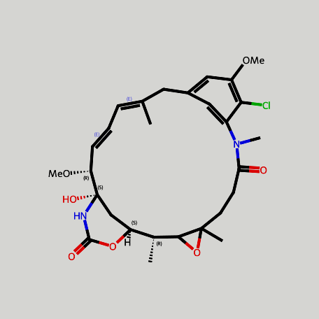 COc1cc2cc(c1Cl)N(C)C(=O)CCC1(C)OC1[C@H](C)[C@@H]1C[C@@](O)(NC(=O)O1)[C@H](OC)/C=C/C=C(\C)C2